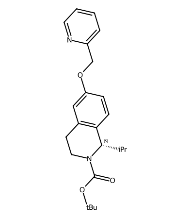 CC(C)[C@H]1c2ccc(OCc3ccccn3)cc2CCN1C(=O)OC(C)(C)C